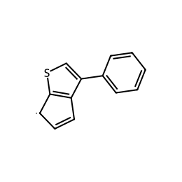 [CH]1C=Cc2c(-c3ccccc3)csc21